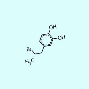 C[C@H](Br)Cc1ccc(O)c(O)c1